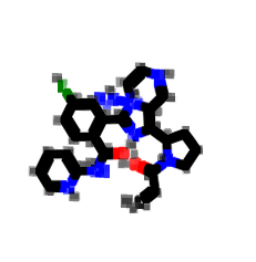 C=CC(=O)N1CCCC1C1=C2C=NC=C[N+]2(N)C(c2cc(F)ccc2C(=O)Nc2ccccn2)=N1